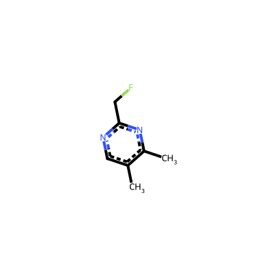 Cc1cnc(CF)nc1C